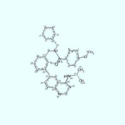 COc1ccc(C(=O)N(Cc2ccccc2)Cc2cccc(-c3ccc4ncnc(NC(C)C)c4c3)c2)cc1